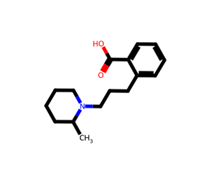 CC1CCCCN1CCCc1ccccc1C(=O)O